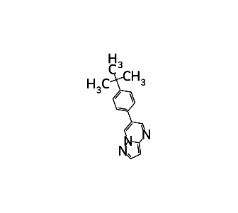 CC(C)(C)c1ccc(-c2cnc3ccnn3c2)cc1